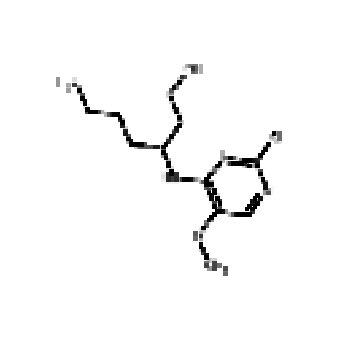 CCCC[C@@H](CCO)Nc1nc(Cl)ncc1OC